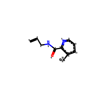 C=CCNC(=O)c1ncccc1[N+](=O)[O-]